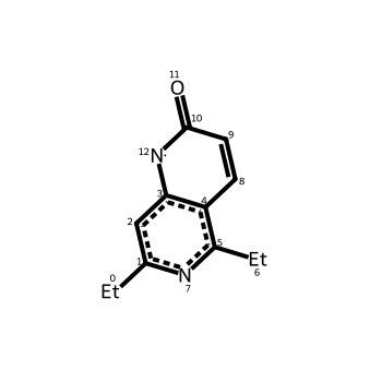 CCc1cc2c(c(CC)n1)C=CC(=O)[N]2